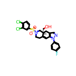 O=S(=O)(c1ccc(Cl)c(Cl)c1)N1CCC2=Cc3c(cnn3-c3ccc(F)cc3)C[C@]2(CO)C1